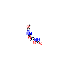 COC1CC(C(=O)Nc2ccc(Oc3cnc(N4CCC(OC(C)C)CC4)nc3)c(C)c2)C1